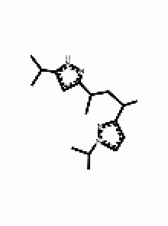 CC(C)c1cc(C(C)CC(C)c2ccn(C(C)C)n2)n[nH]1